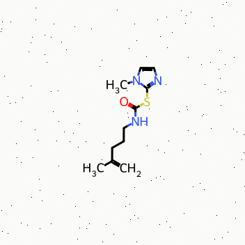 C=C(C)CCCNC(=O)Sc1nccn1C